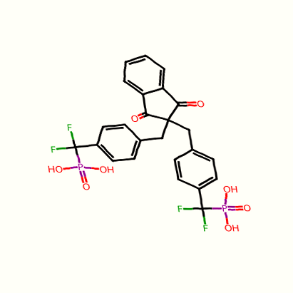 O=C1c2ccccc2C(=O)C1(Cc1ccc(C(F)(F)P(=O)(O)O)cc1)Cc1ccc(C(F)(F)P(=O)(O)O)cc1